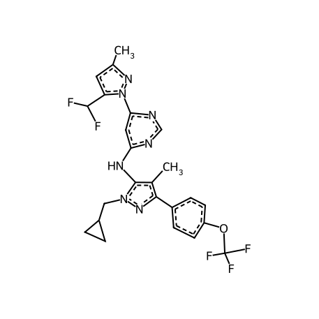 Cc1cc(C(F)F)n(-c2cc(Nc3c(C)c(-c4ccc(OC(F)(F)F)cc4)nn3CC3CC3)ncn2)n1